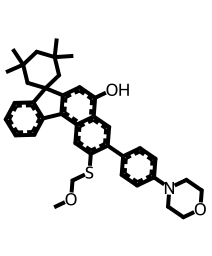 COCSc1cc2c3c(cc(O)c2cc1-c1ccc(N2CCOCC2)cc1)C1(CC(C)(C)CC(C)(C)C1)c1ccccc1-3